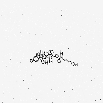 C[C@H]1C[C@@H]2[C@H]3CCC4=CC(=O)C=C[C@@]4(C)[C@]3(F)[C@H](O)C[C@@]2(C)[C@]1(O)C(=O)COC(=O)NCCCCO